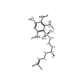 CNc1cc(O)c(NC)c(NC)c1S(=O)(=O)OCC[C@@H](C)CCC=C(C)C